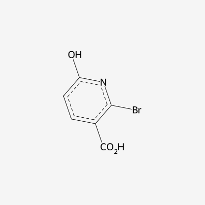 O=C(O)c1ccc(O)nc1Br